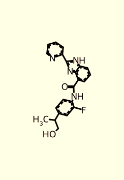 CC(CO)c1ccc(NC(=O)c2cccc3[nH]c(-c4ccccn4)nc23)c(F)c1